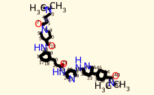 CN(C)C/C=C/C(=O)N1CCC(C(=O)Nc2cccc(CCC(=O)Nc3cncc(Nc4ccc(-c5ccc(C(=O)N(C)C)cc5)cn4)c3)c2)CC1